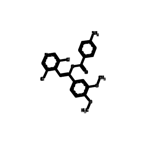 COc1ccc(/C(=C/c2c(Cl)cncc2Cl)OC(=O)c2ccc(N)cc2)cc1OC